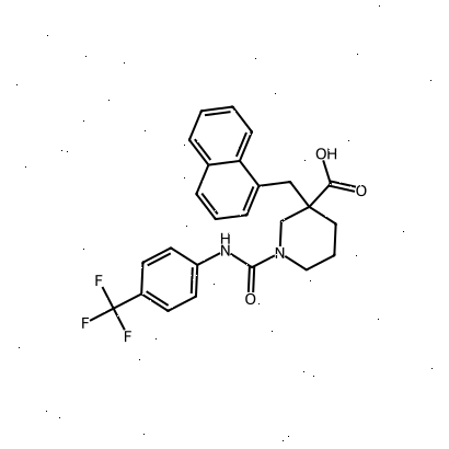 O=C(Nc1ccc(C(F)(F)F)cc1)N1CCCC(Cc2cccc3ccccc23)(C(=O)O)C1